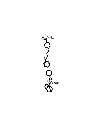 COC1(OO[C@H]2CC[C@@H](c3ccc(OCCCN4CCC(C(N)=O)CC4)cc3)CC2)C2CC3CC(C2)CC1C3